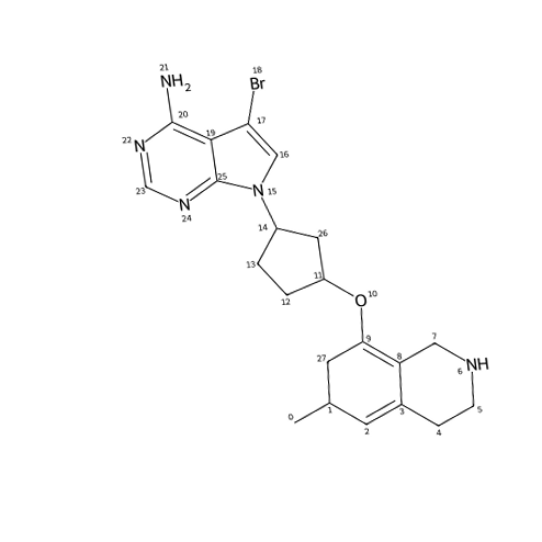 CC1C=C2CCNCC2=C(OC2CCC(n3cc(Br)c4c(N)ncnc43)C2)C1